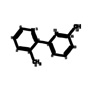 Cc1cccnc1-c1cccc(O)n1